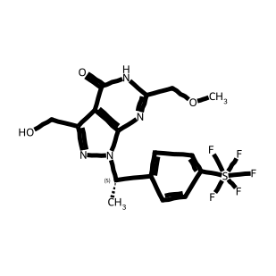 COCc1nc2c(c(CO)nn2[C@@H](C)c2ccc(S(F)(F)(F)(F)F)cc2)c(=O)[nH]1